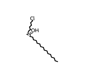 CCCCCCCCCCCCCCCC[N+](C)(C)CC(O)CCCCCl